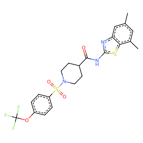 Cc1cc(C)c2sc(NC(=O)C3CCN(S(=O)(=O)c4ccc(OC(F)(F)F)cc4)CC3)nc2c1